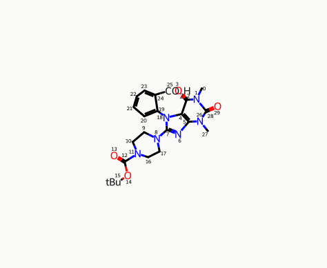 Cn1c(=O)c2c(nc(N3CCN(C(=O)OC(C)(C)C)CC3)n2-c2ccccc2C(=O)O)n(C)c1=O